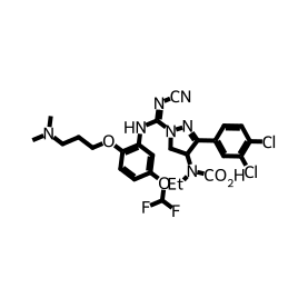 CCN(C(=O)O)C1CN(/C(=N\C#N)Nc2cc(OC(F)F)ccc2OCCCN(C)C)N=C1c1ccc(Cl)c(Cl)c1